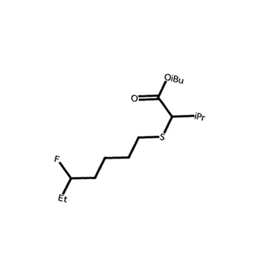 CCC(F)CCCCSC(C(=O)OCC(C)C)C(C)C